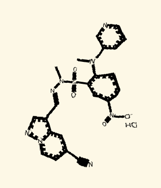 CN(c1cccnc1)c1ccc([N+](=O)[O-])cc1S(=O)(=O)N(C)N=Cc1cnn2ccc(C#N)cc12.Cl